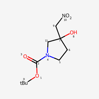 CC(C)(C)OC(=O)N1CCC(O)(C[N+](=O)[O-])C1